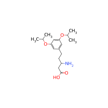 CC(C)Oc1cc(CCC(N)CC(=O)O)cc(OC(C)C)c1